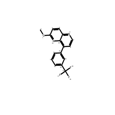 COc1ccc2nccc(-c3cccc(C(F)(F)F)c3)c2n1